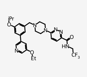 CCOc1cncc(-c2cc(CN3CCN(c4ccc(C(=O)NCC(F)(F)F)nn4)CC3)cc(OC(C)C)c2)c1